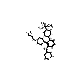 CCCCN1CCN(c2c(NC3CCOCC3)cccc2C2CCC(C(C)(C)C)CC2)CC1